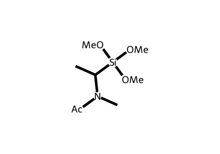 CO[Si](OC)(OC)C(C)N(C)C(C)=O